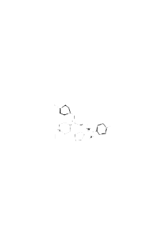 Cc1ccc(S(=O)(=O)[C@@H]2CCC[C@H]2C(=O)N(Cc2ccc(Cl)cc2)C2CCC(F)(F)CC2)cc1